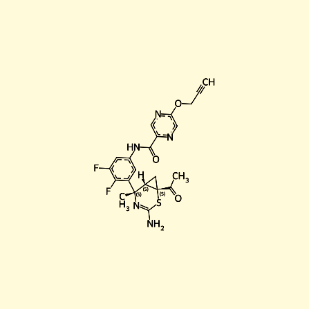 C#CCOc1cnc(C(=O)Nc2cc(F)c(F)c([C@@]3(C)N=C(N)S[C@@]4(C(C)=O)C[C@H]43)c2)cn1